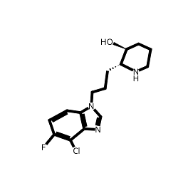 O[C@H]1CCCN[C@@H]1CCCn1cnc2c(Cl)c(F)ccc21